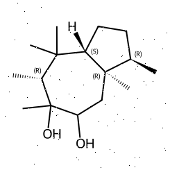 C[C@@H]1CC[C@H]2C(C)(C)[C@@H](C)C(C)(O)C(O)C[C@]12C